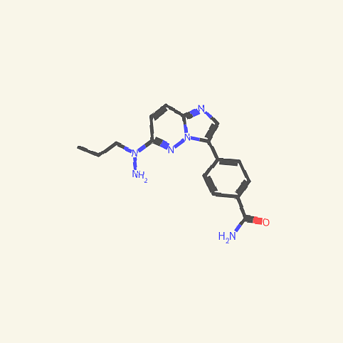 CCCN(N)c1ccc2ncc(-c3ccc(C(N)=O)cc3)n2n1